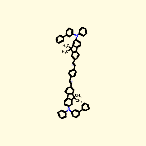 CC1(C)c2cc(/C=C/c3ccc(/C=C/c4ccc5c(c4)C(C)(C)c4cc(N(c6ccccc6)c6cccc(-c7ccccc7)c6)ccc4-5)cc3)ccc2-c2ccc(N(c3ccccc3)c3cccc(-c4ccccc4)c3)cc21